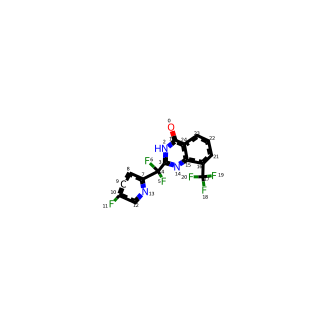 O=c1[nH]c(C(F)(F)c2ccc(F)cn2)nc2c(C(F)(F)F)cccc12